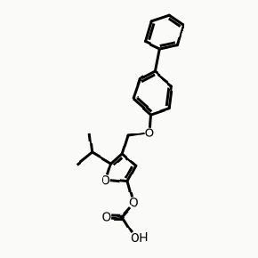 CC(C)c1oc(OC(=O)O)cc1COc1ccc(-c2ccccc2)cc1